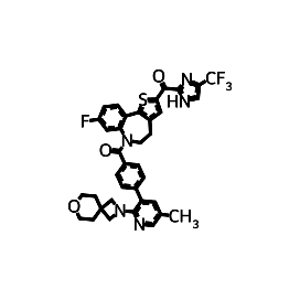 Cc1cnc(N2CC3(CCOCC3)C2)c(-c2ccc(C(=O)N3CCc4cc(C(=O)c5nc(C(F)(F)F)c[nH]5)sc4-c4ccc(F)cc43)cc2)c1